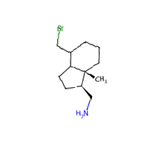 C[C@]12CCCC(CBr)C1CC[C@@H]2CN